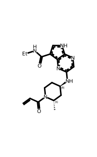 C=CC(=O)N1CC[C@@H](Nc2cnc3[nH]cc(C(=O)NCC)c3n2)C[C@@H]1C